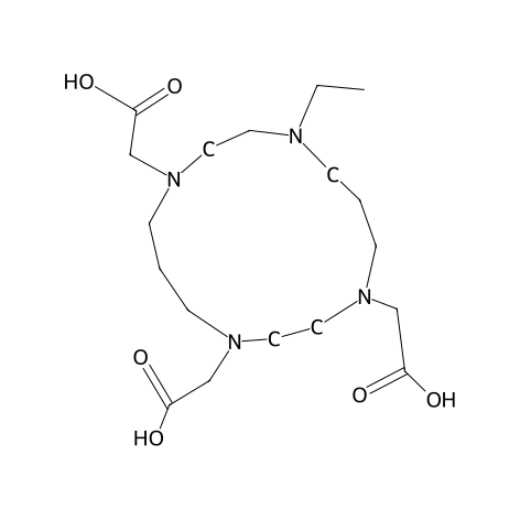 CCN1CCCN(CC(=O)O)CCN(CC(=O)O)CCCN(CC(=O)O)CC1